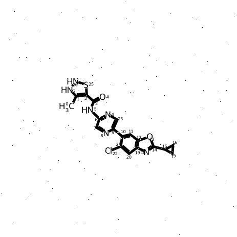 CC1=C(C(=O)Nc2cnc(-c3cc4oc(C5CC5)nc4cc3Cl)cn2)SNN1